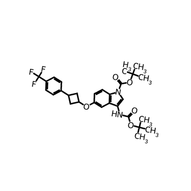 CC(C)(C)OC(=O)Nc1cn(C(=O)OC(C)(C)C)c2ccc(OC3CC(c4ccc(C(F)(F)F)cc4)C3)cc12